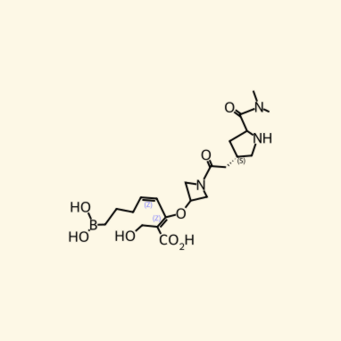 CN(C)C(=O)C1C[C@@H](CC(=O)N2CC(OC(/C=C\CCCB(O)O)=C(/CO)C(=O)O)C2)CN1